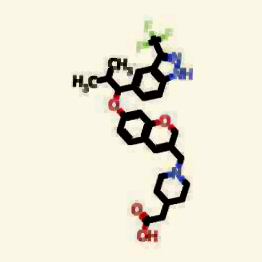 CC(C)C(Oc1ccc2c(c1)OCC(CN1CCC(CC(=O)O)CC1)=C2)c1ccc2[nH]nc(C(F)(F)F)c2c1